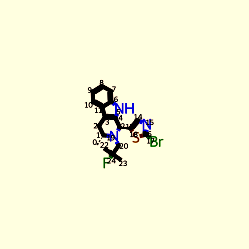 C[C@@H]1Cc2c([nH]c3ccccc23)[C@@H](c2cnc(Br)s2)N1CC(C)(C)F